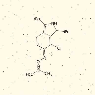 CC(C)C1NC(C(C)(C)C)=C2C=CC(=NO[SiH](C)C)C(Cl)=C21